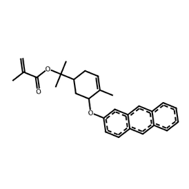 C=C(C)C(=O)OC(C)(C)C1CC=C(C)C(Oc2ccc3cc4ccccc4cc3c2)C1